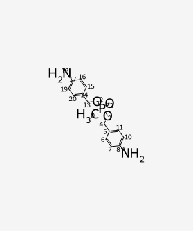 CP(=O)(OCc1ccc(N)cc1)OCc1ccc(N)cc1